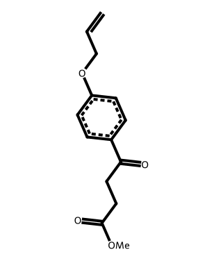 C=CCOc1ccc(C(=O)CCC(=O)OC)cc1